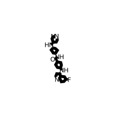 O=C(Nc1ccc(Nc2ccnnc2)cc1)c1ccc(Nc2ccnc3ccc(F)cc23)cc1